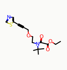 CCOC(=O)C(=O)N(CCOCC#Cc1cncs1)C(C)(C)C